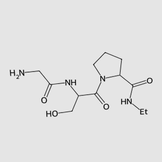 CCNC(=O)C1CCCN1C(=O)C(CO)NC(=O)CN